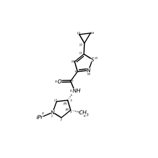 CC(C)N1C[C@@H](C)[C@@H](NC(=O)c2cc(C3CC3)sn2)C1